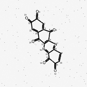 O=c1cc2c(=O)c3nc4ccc(=O)c(=O)c4nc3c(=O)c2cc1=O